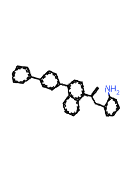 C=C(Cc1ccccc1N)c1ccc(-c2ccc(-c3ccccc3)cc2)c2ccccc12